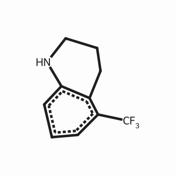 FC(F)(F)c1cccc2c1CCCN2